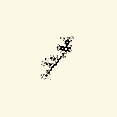 COc1cc(C2c3cc4c(cc3C(NC(=O)NCCC(CCCC(CCCNC(=O)OC(C)(C)C)NC(=O)OC(C)(C)C)NC(=O)OC(C)(C)C)C3COC(=O)C23)OCO4)cc(OC)c1O